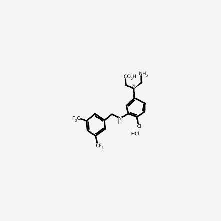 Cl.NC[C@H](CC(=O)O)c1ccc(Cl)c(NCc2cc(C(F)(F)F)cc(C(F)(F)F)c2)c1